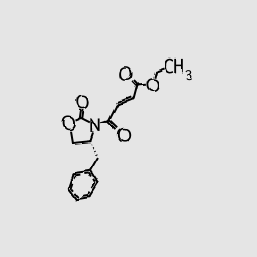 CCOC(=O)/C=C/C(=O)N1C(=O)OC[C@H]1Cc1ccccc1